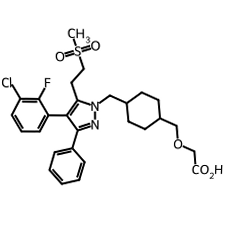 CS(=O)(=O)CCc1c(-c2cccc(Cl)c2F)c(-c2ccccc2)nn1CC1CCC(COCC(=O)O)CC1